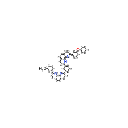 Cc1cccc(-c2ccc3ccc4ccc(-c5cccc(-c6ccc7ccc8ccc(-c9cccc(Oc%10ccccc%10)c9)nc8c7n6)c5)nc4c3n2)c1